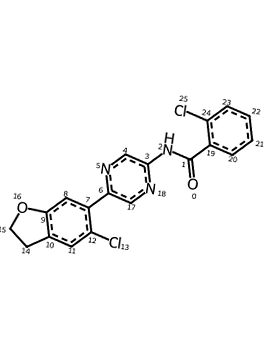 O=C(Nc1cnc(-c2cc3c(cc2Cl)CCO3)cn1)c1ccccc1Cl